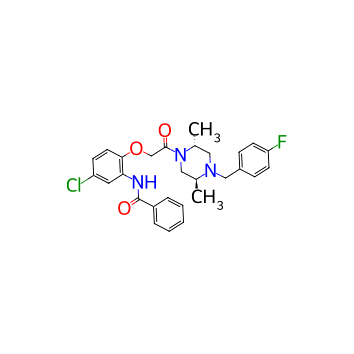 C[C@@H]1CN(Cc2ccc(F)cc2)[C@@H](C)CN1C(=O)COc1ccc(Cl)cc1NC(=O)c1ccccc1